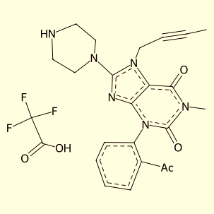 CC#CCn1c(N2CCNCC2)nc2c1c(=O)n(C)c(=O)n2-c1ccccc1C(C)=O.O=C(O)C(F)(F)F